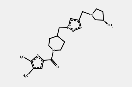 Cc1cc(C(=O)N2CCC(Cn3cc(CN4CC[C@@H](N)C4)nn3)CC2)sc1C